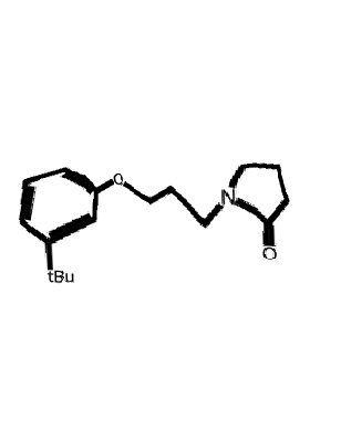 CC(C)(C)c1cccc(OCCCN2CCCC2=O)c1